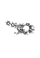 CC[C@H]1OC(=O)[C@@](C)(F)C(=O)[C@H](C)[C@@H](O[C@@H]2OC(CNc3ccc(-c4cncnc4)cc3)CC(N(C)C)C2O)[C@](C)(OC)C[C@@H](C)C(=O)[C@H](C)[C@H]2NC(=O)O[C@@]21C